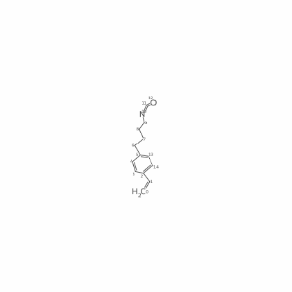 C=Cc1ccc(CCCCN=C=O)cc1